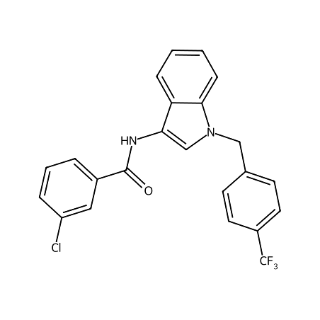 O=C(Nc1cn(Cc2ccc(C(F)(F)F)cc2)c2ccccc12)c1cccc(Cl)c1